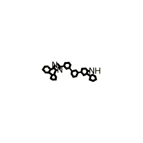 c1cc(-c2cccc(-c3cnc4c5ccccc5c5ccccc5c4n3)c2)cc(-c2ccc3[nH]c4ccccc4c3c2)c1